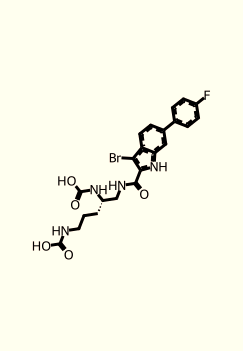 O=C(O)NCCC[C@@H](CNC(=O)c1[nH]c2cc(-c3ccc(F)cc3)ccc2c1Br)NC(=O)O